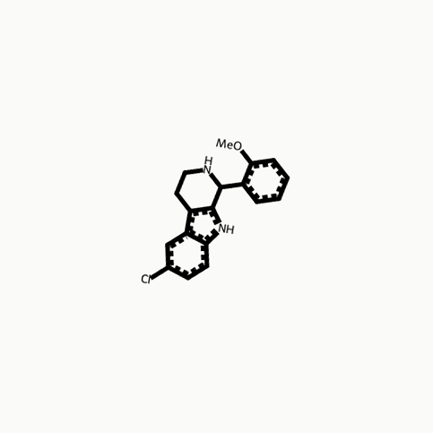 COc1ccccc1C1NCCc2c1[nH]c1ccc(Cl)cc21